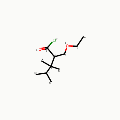 CCOCC(C(=O)Cl)C(C)(C)C(C)C